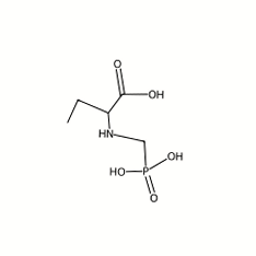 CCC(NCP(=O)(O)O)C(=O)O